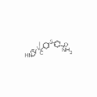 NC(=O)c1ccc(Sc2ccc(C(=O)NC3CC4CC3CN4)cc2)cc1